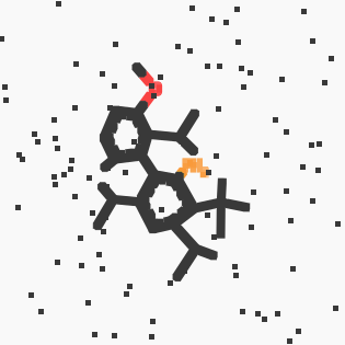 COc1ccc(C)c(-c2c(C(C)C)cc(C(C)C)c(C(C)(C)C)c2P)c1C(C)C